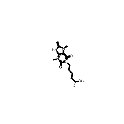 C=C1Nc2c(c(=O)n(CCCC[C@@H](C)O)c(=O)n2C)N1C